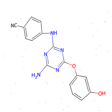 N#Cc1ccc(Nc2nc(N)nc(Oc3cccc(O)c3)n2)cc1